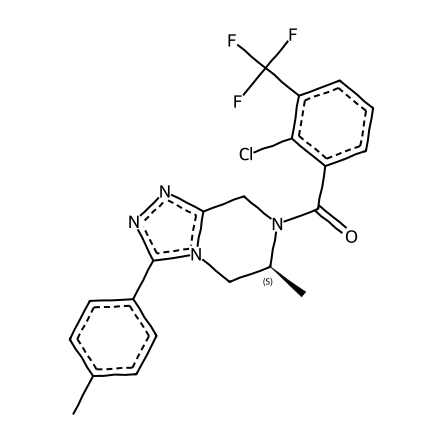 Cc1ccc(-c2nnc3n2C[C@H](C)N(C(=O)c2cccc(C(F)(F)F)c2Cl)C3)cc1